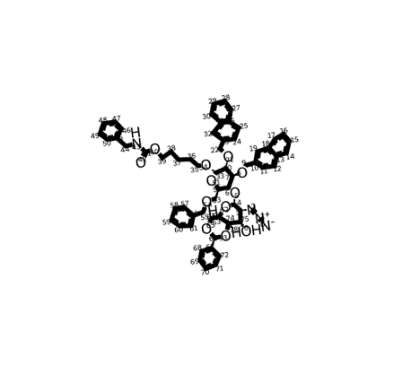 [N-]=[N+]=N[C@H]1[C@@H](O[C@@H]2[C@H](OCc3ccc4ccccc4c3)[C@@H](OCc3ccc4ccccc4c3)[C@@H](OCCCCCOC(=O)NCc3ccccc3)O[C@@H]2COCc2ccccc2)O[C@@H]2CO[C@H](c3ccccc3)O[C@@H]2[C@@H]1O